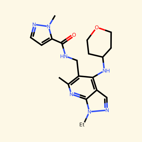 CCn1ncc2c(NC3CCOCC3)c(CNC(=O)c3ccnn3C)c(C)nc21